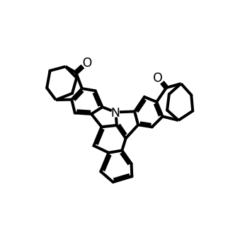 O=C1c2cc3c(cc2C2CCC1CC2)c1cc2ccccc2c2c4cc5c(cc4n3c12)C(=O)C1CCC5CC1